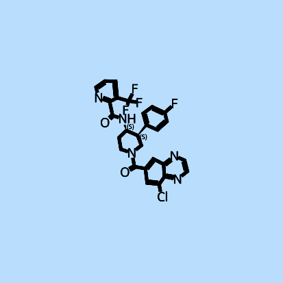 O=C(N[C@H]1CCN(C(=O)c2cc(Cl)c3nccnc3c2)C[C@@H]1c1ccc(F)cc1)c1ncccc1C(F)(F)F